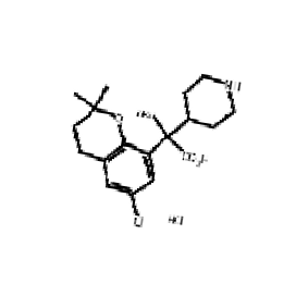 CCCCC(C(=O)O)(c1cc(Cl)cc2c1OC(C)(C)CC2)C1CCNCC1.Cl